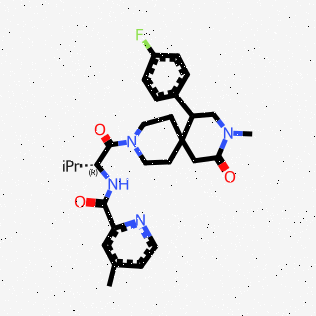 Cc1ccnc(C(=O)N[C@@H](C(=O)N2CCC3(CC2)CC(=O)N(C)CC3c2ccc(F)cc2)C(C)C)c1